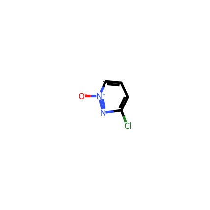 [O-][n+]1[c]ccc(Cl)n1